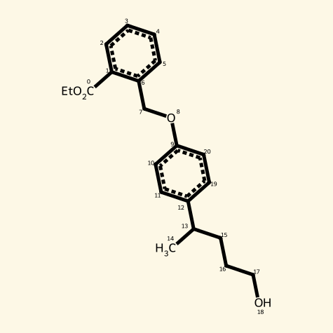 CCOC(=O)c1ccccc1COc1ccc(C(C)CCCO)cc1